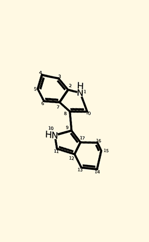 [c]1[nH]c2ccccc2c1-c1[nH]cc2ccccc12